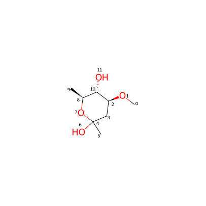 CO[C@H]1CC(C)(O)O[C@@H](C)[C@@H]1O